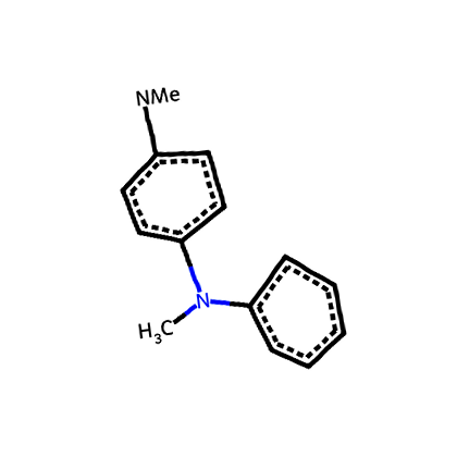 CNc1ccc(N(C)c2ccccc2)cc1